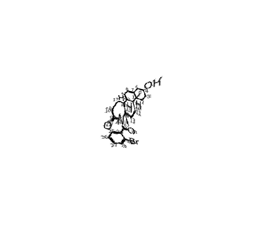 C[C@]12CC[C@H](O)CC1=CC[C@@H]1[C@@H]2CC[C@@]2(C)[C@H]1CCC(=O)N2C(=O)c1ccccc1Br